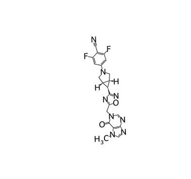 Cn1cnc2ncn(Cc3nc([C@H]4[C@@H]5CN(c6cc(F)c(C#N)c(F)c6)C[C@@H]54)no3)c(=O)c21